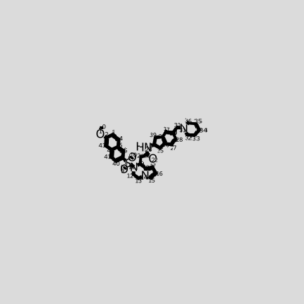 COc1ccc2cc(S(=O)(=O)N3CCn4cccc4C3CC(=O)NC3Cc4ccc(CN5CCCCC5)cc4C3)ccc2c1